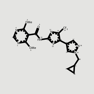 COc1ncnc(OC)c1C(=O)Nc1nc(C(F)(F)F)c(-c2cnn(CC3CC3)c2)s1